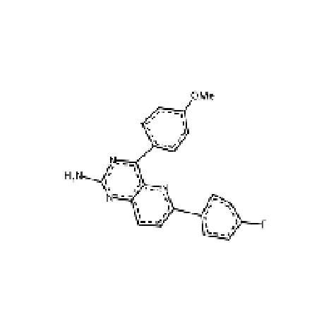 COc1ccc(-c2nc(N)nc3ccc(-c4ccc(F)cc4)nc23)cc1